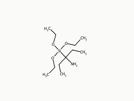 CCO[Si](OCC)(OCC)C(N)(CC)CC